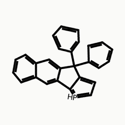 C1=[PH]=C2C(=C1)C(c1ccccc1)(c1ccccc1)c1cc3ccccc3cc12